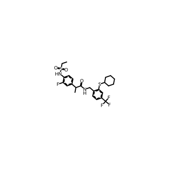 CCS(=O)(=O)Nc1ccc(C(C)C(=O)NCc2ccc(C(F)(F)F)cc2SC2CCCCC2)cc1F